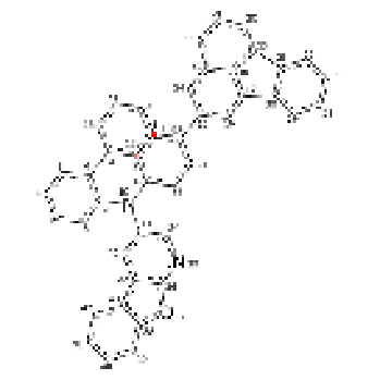 c1ccc(-c2ccccc2N(c2ccc(-c3cc4c5c(cccc5c3)-c3ccccc3-4)cc2)c2cnc3oc4ccccc4c3c2)cc1